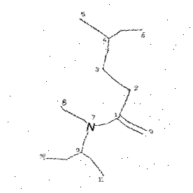 C=C(CCC(C)C)N(C)C(C)C